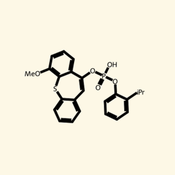 COc1cccc2c1Sc1ccccc1C=C2OP(=O)(O)Oc1ccccc1C(C)C